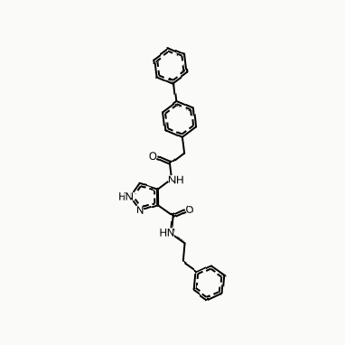 O=C(Cc1ccc(-c2ccccc2)cc1)Nc1c[nH]nc1C(=O)NCCc1ccccc1